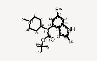 CN1CCC(N(C(=O)OC(C)(C)C)c2cc(F)cc3[nH]c(I)cc23)CC1